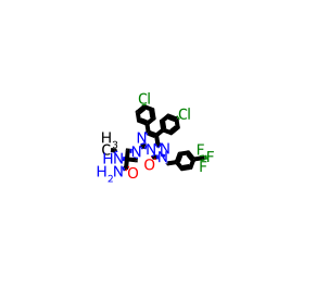 CCNC1(C(N)=O)CN(c2nc(-c3ccc(Cl)cc3)c(-c3ccc(Cl)cc3)c3nn(Cc4ccc(C(F)(F)F)cc4)c(=O)n23)C1